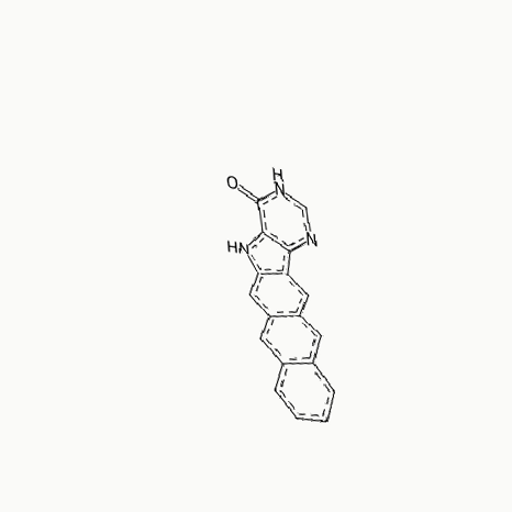 O=c1[nH]cnc2c1[nH]c1cc3cc4ccccc4cc3cc12